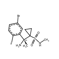 CNS(=O)(=O)C1([C@](C)(N)c2cc(Br)ccc2F)CC1